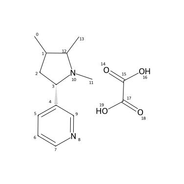 CC1C[C@@H](c2cccnc2)N(C)C1C.O=C(O)C(=O)O